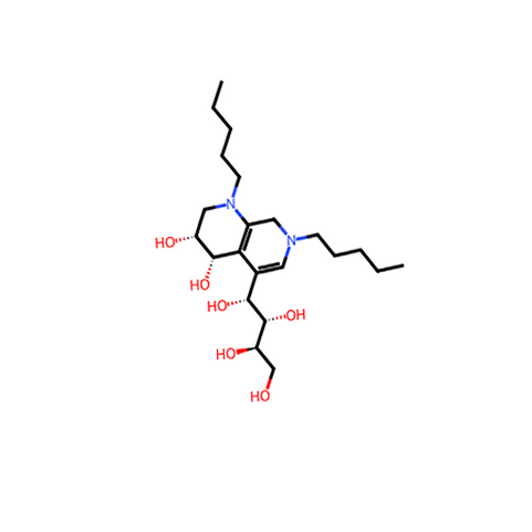 CCCCCN1C=C([C@@H](O)[C@H](O)[C@H](O)CO)C2=C(C1)N(CCCCC)C[C@@H](O)[C@H]2O